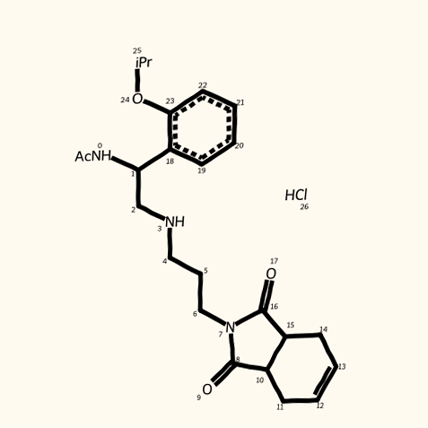 CC(=O)NC(CNCCCN1C(=O)C2CC=CCC2C1=O)c1ccccc1OC(C)C.Cl